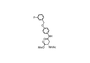 COC(=O)[C@H](CC(=O)Nc1ccc(OCc2cccc(F)c2)cc1)NC(C)=O